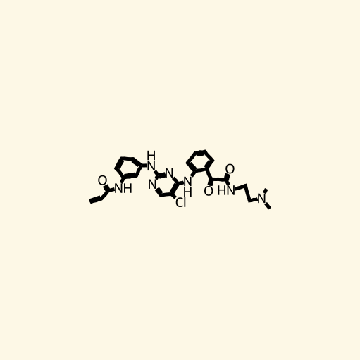 C=CC(=O)Nc1cccc(Nc2ncc(Cl)c(Nc3ccccc3C(=O)C(=O)NCCN(C)C)n2)c1